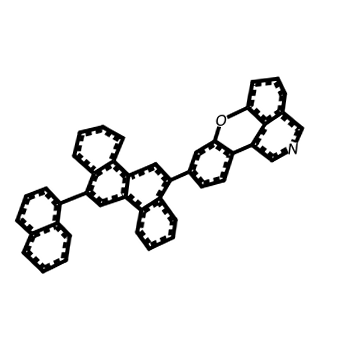 c1ccc2c(-c3cc4c5ccccc5c(-c5ccc6c(c5)Oc5cccc7cncc-6c57)cc4c4ccccc34)cccc2c1